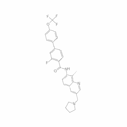 Cc1c(NC(=O)c2ccc(-c3ccc(OC(F)(F)F)cc3)cc2F)ccc2cc(CN3CCCC3)cnc12